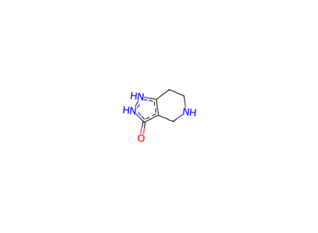 O=c1[nH][nH]c2c1CNCC2